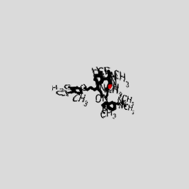 Cc1cc(OCCCc2c3n(c4c(-c5c(C)nn(C)c5C)c(Cl)ccc24)C(C)CN(c2cn(C)c4ccc(-c5nc(C)n(C)n5)cc24)C3=O)cc(C)c1Cl